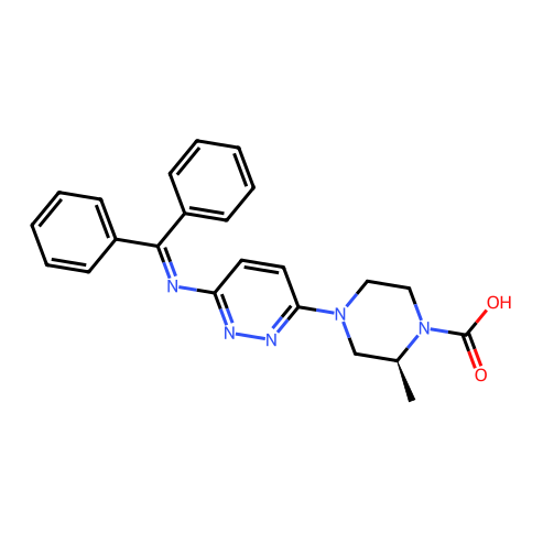 C[C@H]1CN(c2ccc(N=C(c3ccccc3)c3ccccc3)nn2)CCN1C(=O)O